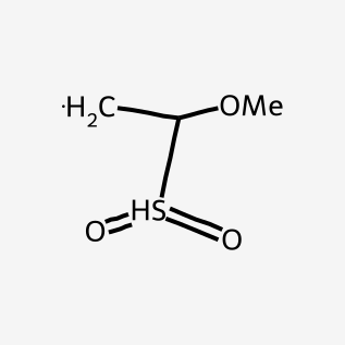 [CH2]C(OC)[SH](=O)=O